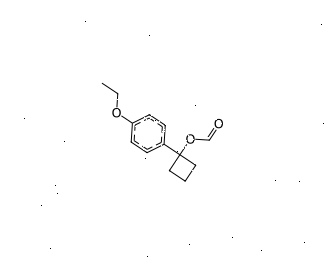 CCOc1ccc(C2(OC=O)CCC2)cc1